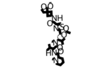 CCC1(C(=O)OC)CC(NC(=O)c2csc([C@@H](C[C@H](C(C)C)N(C)C(=O)[C@@H](NC(=O)C3CCCCN3C)C(C)C)OC(C)=O)n2)C1